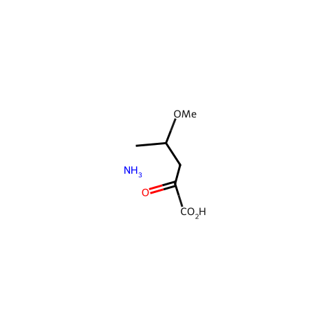 COC(C)CC(=O)C(=O)O.N